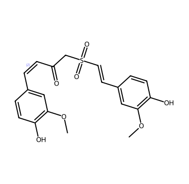 COc1cc(C=CS(=O)(=O)CC(=O)/C=C\c2ccc(O)c(OC)c2)ccc1O